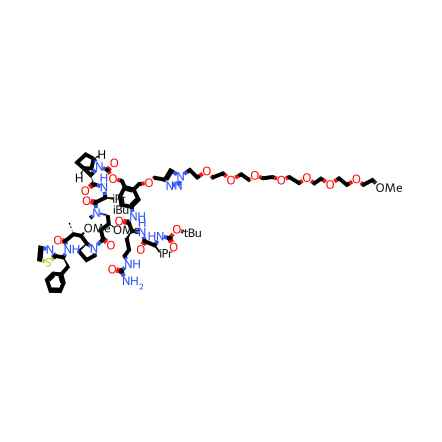 CC[C@H](C)[C@@H]([C@@H](CC(=O)N1CCC[C@H]1[C@H](OC)[C@@H](C)C(=O)N[C@@H](Cc1ccccc1)c1nccs1)OC)N(C)C(=O)[C@@H](NC(=O)[C@@H]1[C@H]2CC[C@H](C2)N1C(=O)OCc1ccc(NC(=O)[C@H](CCCNC(N)=O)NC(=O)[C@@H](NC(=O)OC(C)(C)C)C(C)C)cc1COCc1cn(CCOCCOCCOCCOCCOCCOCCOCCOC)nn1)C(C)C